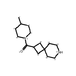 CC1CCN(C(=O)C2CC3(CCNCC3)C2)CC1